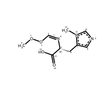 COO/C=N\[C@H](Cc1cncn1C)C(=O)O